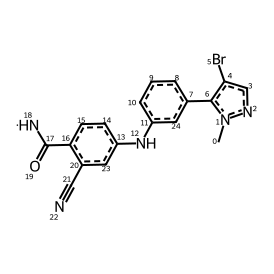 Cn1ncc(Br)c1-c1cccc(Nc2ccc(C([NH])=O)c(C#N)c2)c1